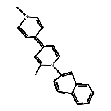 CC1=CC(=C2C=CN(C)C=C2)C=CN1c1ccc2ccccc2c1